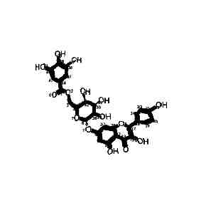 O=C(OCC1O[C@@H](Oc2cc(O)c3c(=O)c(O)c(-c4ccc(O)cc4)oc3c2)C(O)[C@@H](O)[C@@H]1O)c1cc(O)c(O)c(O)c1